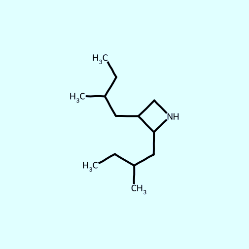 CCC(C)CC1CNC1CC(C)CC